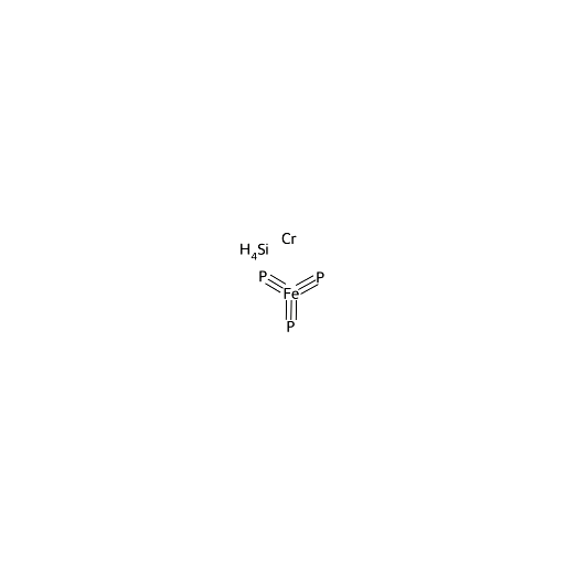 [Cr].[P]#[Fe](#[P])#[P].[SiH4]